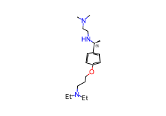 CCN(CC)CCCOc1ccc([C@H](C)NCCN(C)C)cc1